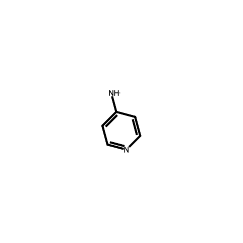 [NH]c1ccncc1